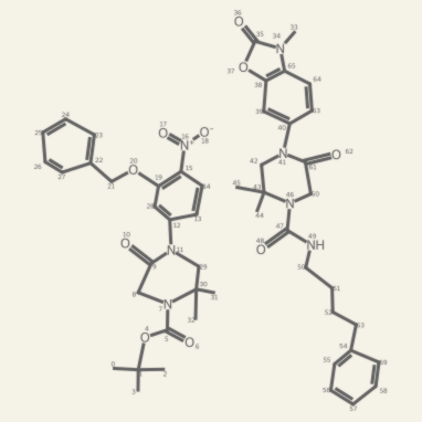 CC(C)(C)OC(=O)N1CC(=O)N(c2ccc([N+](=O)[O-])c(OCc3ccccc3)c2)CC1(C)C.Cn1c(=O)oc2cc(N3CC(C)(C)N(C(=O)NCCCCc4ccccc4)CC3=O)ccc21